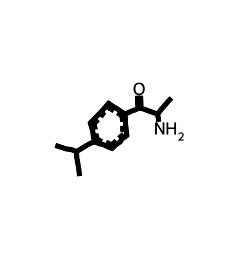 CC(N)C(=O)c1ccc(C(C)C)cc1